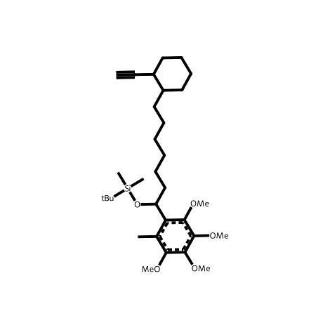 C#CC1CCCCC1CCCCCCC(O[Si](C)(C)C(C)(C)C)c1c(C)c(OC)c(OC)c(OC)c1OC